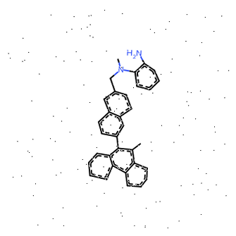 Cc1c(-c2ccc3cc(CN(C)c4ccccc4N)ccc3c2)c2ccccc2c2ccccc12